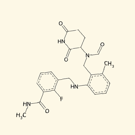 CNC(=O)c1cccc(CNc2cccc(C)c2CN(C=O)C2CCC(=O)NC2=O)c1F